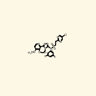 COc1ccnc2c1OC[C@@H](c1ccc(F)cc1F)n1c(NS(=O)(=O)CCc3ncc(Cl)cn3)nnc1-2